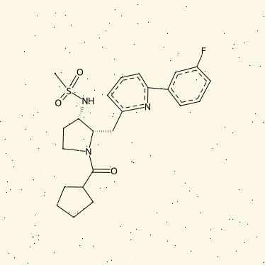 CS(=O)(=O)N[C@H]1CCN(C(=O)C2CCCC2)[C@H]1Cc1cccc(-c2cccc(F)c2)n1